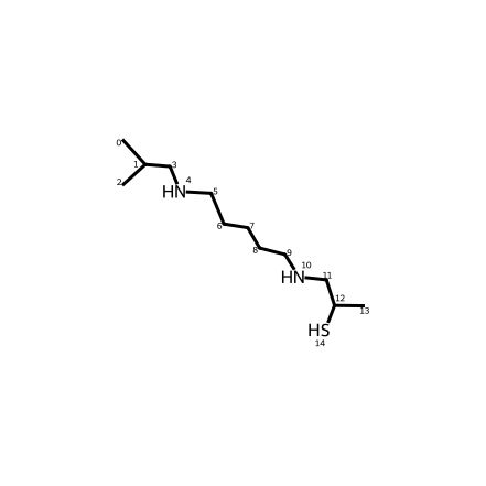 CC(C)CNCCCCCNCC(C)S